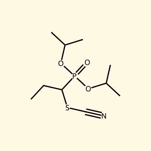 CCC(SC#N)P(=O)(OC(C)C)OC(C)C